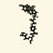 CCCC(CCC(C)C(=O)NO)CNC(=O)c1ccc(CNC(=O)CC[C@@H](C)C2CC[C@H]3[C@@H]4[C@@H](O)C[C@@H]5C[C@H](O)CC[C@]5(C)[C@H]4CC[C@]23C)cc1